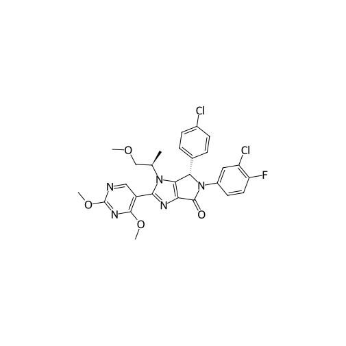 COC[C@@H](C)n1c(-c2cnc(OC)nc2OC)nc2c1[C@H](c1ccc(Cl)cc1)N(c1ccc(F)c(Cl)c1)C2=O